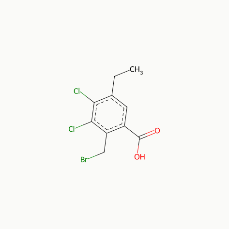 CCc1cc(C(=O)O)c(CBr)c(Cl)c1Cl